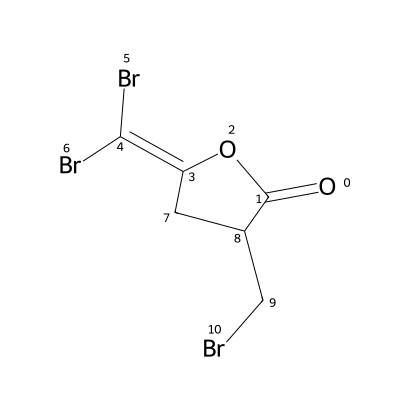 O=C1OC(=C(Br)Br)CC1CBr